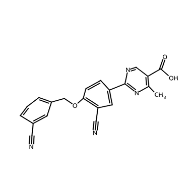 Cc1nc(-c2ccc(OCc3cccc(C#N)c3)c(C#N)c2)ncc1C(=O)O